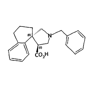 O=C(O)[C@@H]1CN(Cc2ccccc2)C[C@]12CCCc1ccccc12